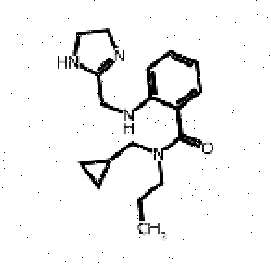 CCCN(CC1CC1)C(=O)c1ccccc1NCC1=NCCN1